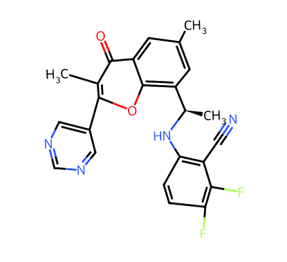 Cc1cc([C@@H](C)Nc2ccc(F)c(F)c2C#N)c2oc(-c3cncnc3)c(C)c(=O)c2c1